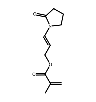 C=C(C)C(=O)OCC=CN1CCCC1=O